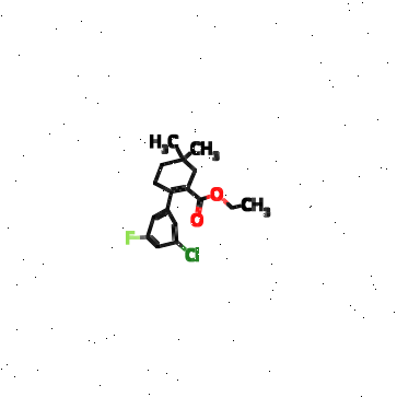 CCOC(=O)C1=C(c2cc(F)cc(Cl)c2)CCC(C)(C)C1